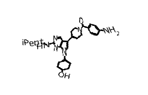 CCC[C@H](C)Nc1ncc2c(C3CCN(C(=O)c4ccc(N)cc4)CC3)cn(C3CCC(O)CC3)c2n1